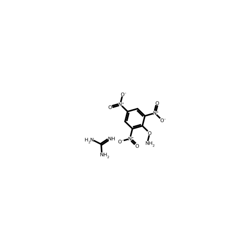 N=C(N)N.NOc1c([N+](=O)[O-])cc([N+](=O)[O-])cc1[N+](=O)[O-]